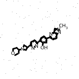 Cn1cc2nc(-c3ccc(-c4ccc(C5CN(C6CCOCC6)C5)nn4)c(O)c3)ccc2n1